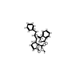 COC(=O)[C@]1(N2C(=O)c3ccccc3C2=O)C(CCCc2ccccc2)CC=C[N+]1=O